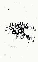 C#CCc1cc(C(=O)C2=C3OC(C)(C)[C@@H](CC=C(C)C)C[C@@]34C[C@@H](CC=C(C)C)C(C)(C)[C@@](CC=C(C)C)(C2=O)C4=O)ccc1C